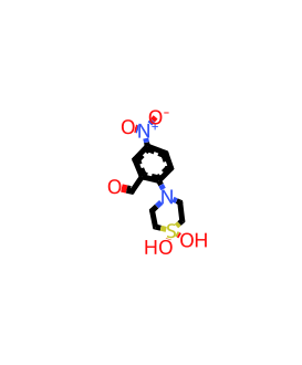 O=Cc1cc([N+](=O)[O-])ccc1N1CCS(O)(O)CC1